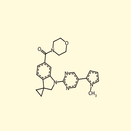 Cn1cccc1-c1cnc(N2CC3(CC3)c3ccc(C(=O)N4CCOCC4)cc32)nc1